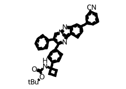 CC(C)(C)OC(=O)NC1(c2ccc(-c3nc4c5ccc(-c6cccc(C#N)c6)cc5nn4cc3-c3ccccc3)cc2)CCC1